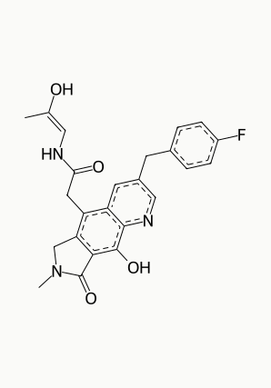 C/C(O)=C\NC(=O)Cc1c2c(c(O)c3ncc(Cc4ccc(F)cc4)cc13)C(=O)N(C)C2